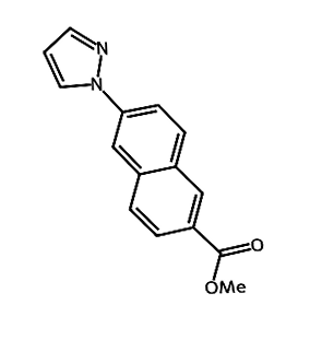 COC(=O)c1ccc2cc(-n3cccn3)ccc2c1